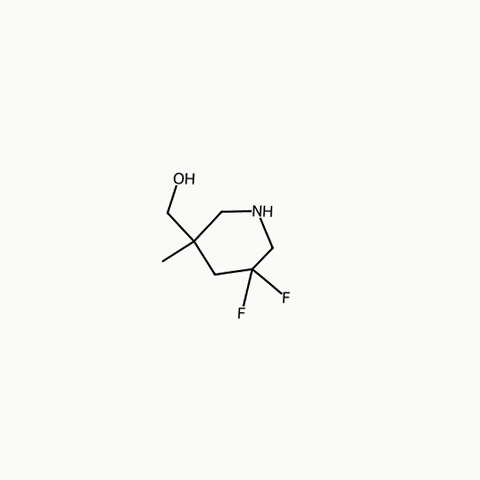 CC1(CO)CNCC(F)(F)C1